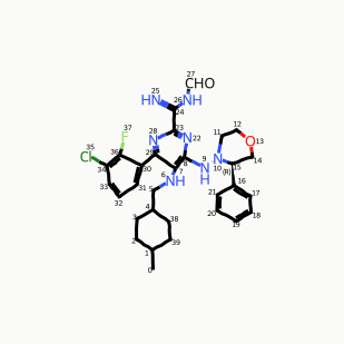 CC1CCC(CNc2c(NN3CCOC[C@H]3c3ccccc3)nc(C(=N)NC=O)nc2-c2cccc(Cl)c2F)CC1